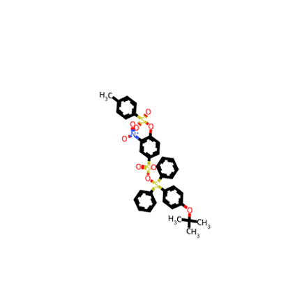 Cc1ccc(S(=O)(=O)Oc2ccc(S(=O)(=O)OS(c3ccccc3)(c3ccccc3)c3ccc(OC(C)(C)C)cc3)cc2[N+](=O)[O-])cc1